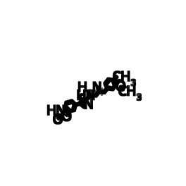 COc1cc(C[C@H](N)CNc2ncc(-c3ccc4[nH]c(=O)oc4c3)s2)ccc1C